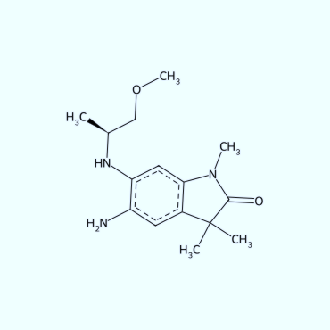 COC[C@H](C)Nc1cc2c(cc1N)C(C)(C)C(=O)N2C